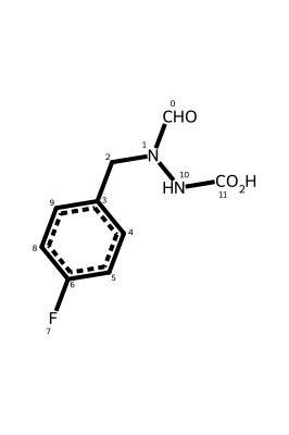 O=CN(Cc1ccc(F)cc1)NC(=O)O